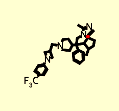 Cc1nccn1CC(c1ccccc1)(C1CCN(CC2CN(c3ccc(C(F)(F)F)cc3)C2)CC1)C1CCCC1C